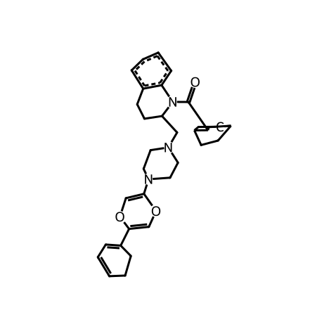 O=C(C1CC2CCC1CC2)N1c2ccccc2CCC1CN1CCN(C2=COC(C3=CC=CCC3)=CO2)CC1